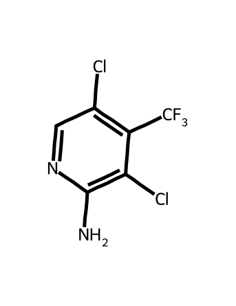 Nc1ncc(Cl)c(C(F)(F)F)c1Cl